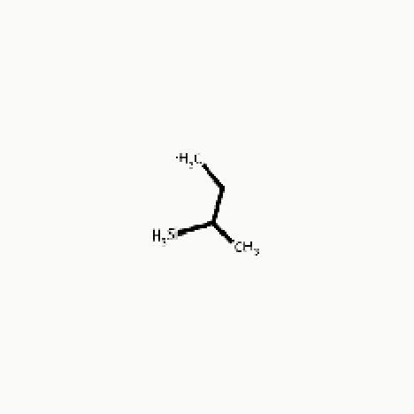 [CH2]CC(C)[SiH3]